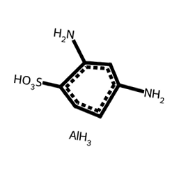 Nc1ccc(S(=O)(=O)O)c(N)c1.[AlH3]